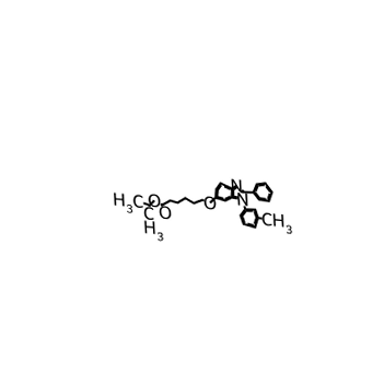 Cc1cccc(-n2c(-c3ccccc3)nc3ccc(OCCCCCC(=O)OC(C)C)cc32)c1